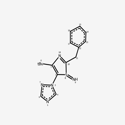 CC(C)(C)C1=C(n2cncn2)S(=N)C(Cc2ccccc2)=N1